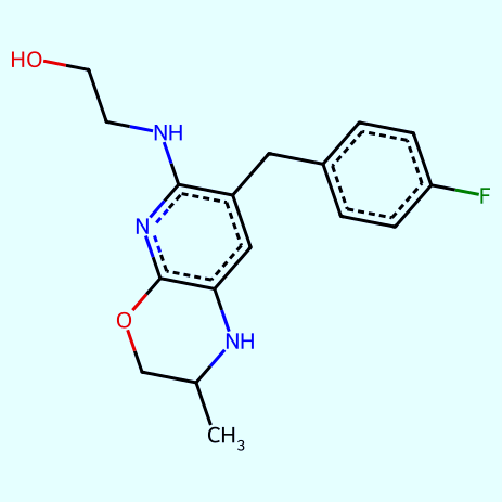 CC1COc2nc(NCCO)c(Cc3ccc(F)cc3)cc2N1